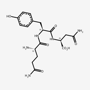 NC(=O)CC[C@H](N)C(=O)N[C@@H](Cc1ccc(O)cc1)C(=O)N[C@@H](CC(N)=O)C(=O)O